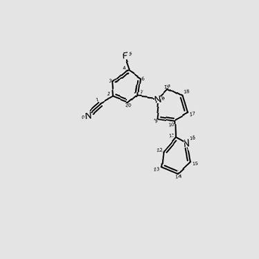 N#Cc1cc(F)cc(N2C=C(c3ccccn3)C=CC2)c1